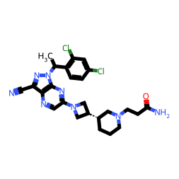 CC(c1ccc(Cl)cc1Cl)n1nc(C#N)c2ncc(N3CC([C@H]4CCCN(CCC(N)=O)C4)C3)nc21